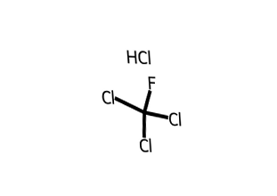 Cl.FC(Cl)(Cl)Cl